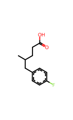 CC(CCC(=O)O)Cc1ccc(F)cc1